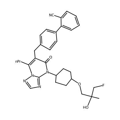 CCCc1c(Cc2ccc(-c3ccccc3C#N)cc2)c(=O)n(C2CCC(OCC(C)(O)CF)CC2)c2ncnn12